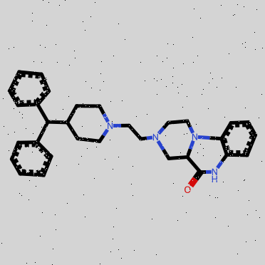 O=C1Nc2ccccc2N2CCN(CCN3CCC(C(c4ccccc4)c4ccccc4)CC3)CC12